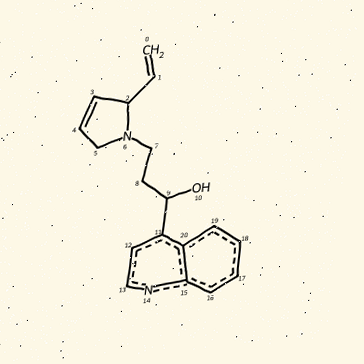 C=CC1C=CCN1CCC(O)c1ccnc2ccccc12